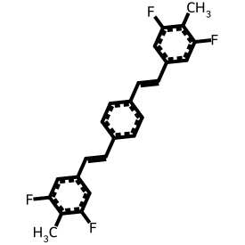 Cc1c(F)cc(/C=C/c2ccc(/C=C/c3cc(F)c(C)c(F)c3)cc2)cc1F